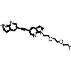 FCCOCCOCCn1ccc2cc(C#Cc3cnc4[nH]ccc4c3)cnc21